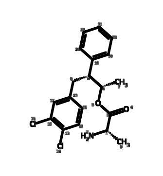 C[C@H](N)C(=O)O[C@@H](C)[C@H](Cc1ccc(Cl)c(Cl)c1)c1ccccc1